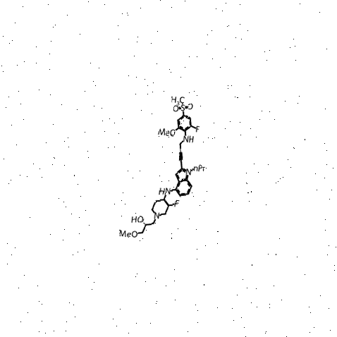 CCCn1c(C#CCNc2c(F)cc(S(C)(=O)=O)cc2OC)cc2c(NC3CCN(C[C@@H](O)COC)CC3F)cccc21